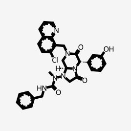 CN(C(=O)NCc1ccccc1)N1CC(=O)N2[C@@H](c3cccc(O)c3)C(=O)N(Cc3c(Cl)ccc4cccnc34)C[C@@H]21